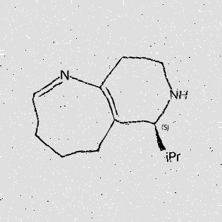 CC(C)[C@@H]1NCCC2=C1CCCC=N2